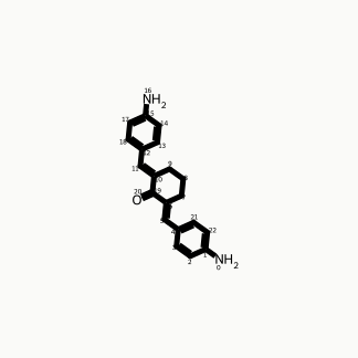 Nc1ccc(C=C2CCCC(=Cc3ccc(N)cc3)C2=O)cc1